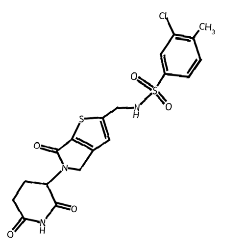 Cc1ccc(S(=O)(=O)NCc2cc3c(s2)C(=O)N(C2CCC(=O)NC2=O)C3)cc1Cl